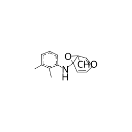 Cc1cccc(NC23C=CC=CC2(C=O)O3)c1C